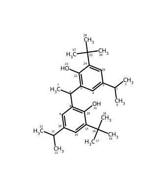 CC(C)c1cc(C(C)c2cc(C(C)C)cc(C(C)(C)C)c2O)c(O)c(C(C)(C)C)c1